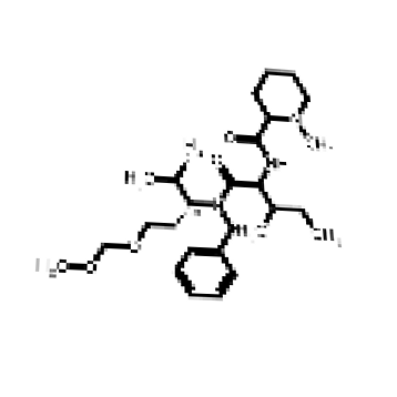 CCC(C)C(NC(=O)C1CCCCN1C)C(=O)N(Cc1ccccc1)[C@H](CCOCOC)C(C)C